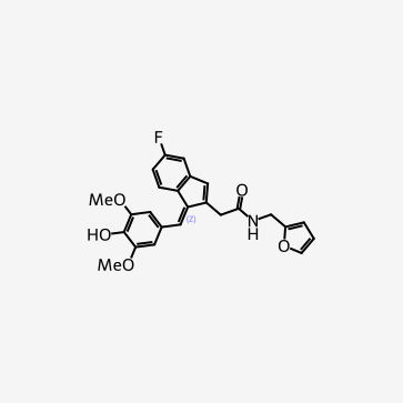 COc1cc(/C=C2/C(CC(=O)NCc3ccco3)=Cc3cc(F)ccc32)cc(OC)c1O